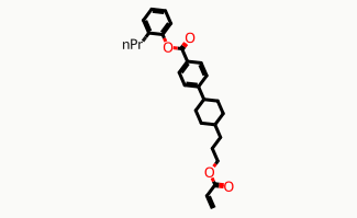 C=CC(=O)OCCCC1CCC(c2ccc(C(=O)Oc3ccccc3CCC)cc2)CC1